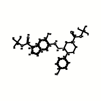 CC(C)(C)OC(=O)N1CC[C@@H](c2ccc(F)cc2)[C@H](COc2cc3cnn(C(=O)OC(C)(C)C)c3cc2F)C1